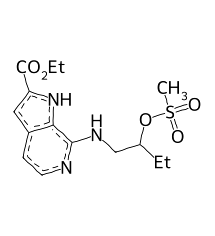 CCOC(=O)c1cc2ccnc(NCC(CC)OS(C)(=O)=O)c2[nH]1